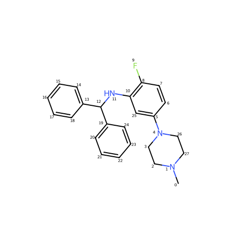 CN1CCN(c2ccc(F)c(NC(c3ccccc3)c3ccccc3)c2)CC1